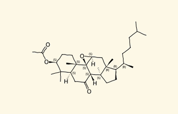 CC(=O)O[C@H]1CC[C@@]2(C)[C@@H](CC(=O)[C@@H]3[C@]24O[C@H]4C[C@]2(C)[C@@H]([C@H](C)CCCC(C)C)CC[C@@]32C)C1(C)C